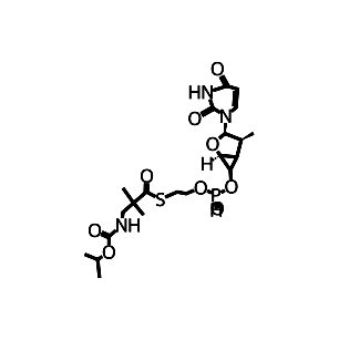 CC(C)OC(=O)NCC(C)(C)C(=O)SCCO[PH](=O)OC1C2[C@@H]1O[C@@H](n1ccc(=O)[nH]c1=O)[C@H]2C